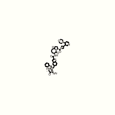 CCCOC(=O)[C@H](C)NP(=O)(Cc1ccc2sc(C(=O)N[C@H]3CCC[C@H]4CC[C@@H](C(=O)N5CC(c6cnccc6N6CCOCC6)C5)N4C3=O)cc2c1)Oc1ccccc1